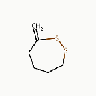 C=C1CCCCSS1